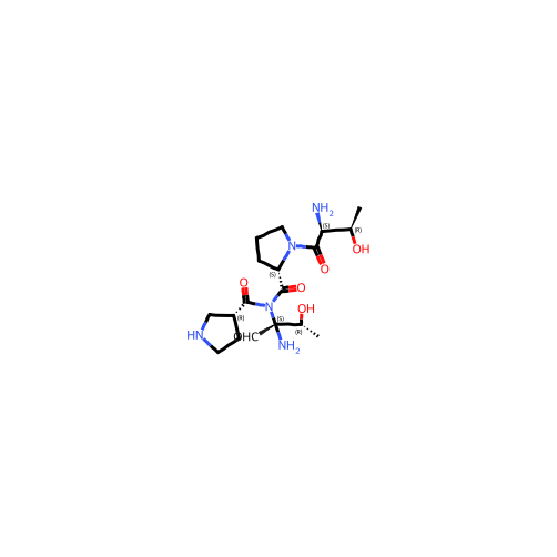 C[C@@H](O)[C@H](N)C(=O)N1CCC[C@H]1C(=O)N(C(=O)[C@@H]1CCNC1)[C@](N)(C=O)[C@@H](C)O